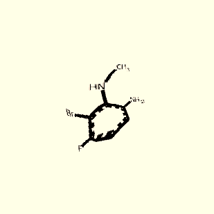 CNc1c(N)ccc(F)c1Br